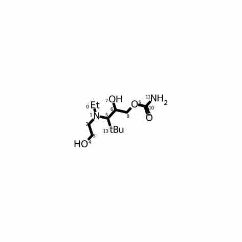 CCN(CCO)C(C(O)COC(N)=O)C(C)(C)C